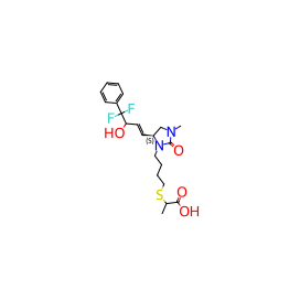 CC(SCCCCN1C(=O)N(C)C[C@@H]1C=CC(O)C(F)(F)c1ccccc1)C(=O)O